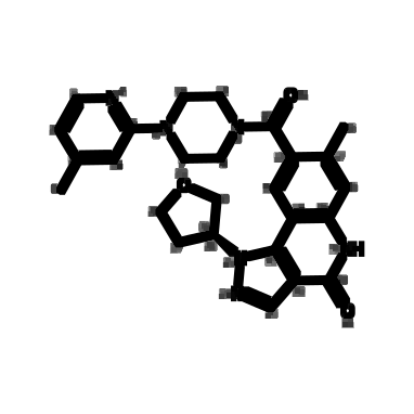 Cc1ccnc(N2CCN(C(=O)c3cc4c(cc3C)[nH]c(=O)c3cnn([C@H]5CCOC5)c34)CC2)c1